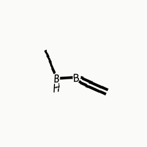 C=BBC